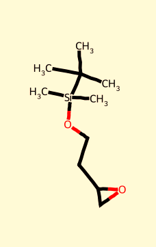 CC(C)(C)[Si](C)(C)OCCC1CO1